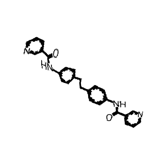 O=C(Nc1ccc(CCc2ccc(NC(=O)c3cccnc3)cc2)cc1)c1cccnc1